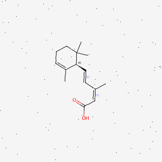 CC1=CCCC(C)(C)[C@H]1/C=C/C(C)=C\C(=O)O